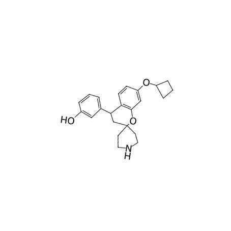 Oc1cccc(C2CC3(CCNCC3)Oc3cc(OC4CCC4)ccc32)c1